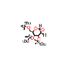 CC(C)(C)[Si](C)(C)OC[C@H]1O[C@@H]2O[C@@H]2C(O[Si](C)(C)C(C)(C)C)C1O[Si](C)(C)C(C)(C)C